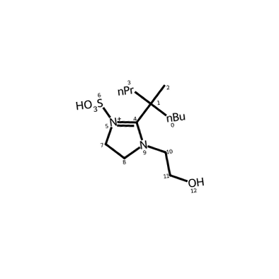 CCCCC(C)(CCC)C1=[N+](S(=O)(=O)O)CCN1CCO